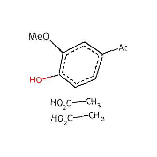 CC(=O)O.CC(=O)O.COc1cc(C(C)=O)ccc1O